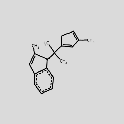 CC1=CCC(C(C)(C)C2C(C)=Cc3ccccc32)=C1